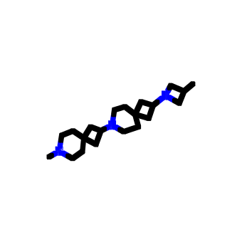 CC1CN(C2CC3(CCN(C4CC5(CCN(C)CC5)C4)CC3)C2)C1